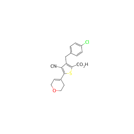 [C-]#[N+]c1c(C2=CCOCC2)sc(C(=O)O)c1Cc1ccc(Cl)cc1